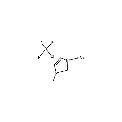 CCCC[n+]1ccn(C)c1.F[B-](F)(F)Cl